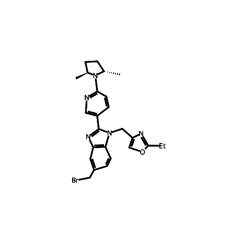 CCc1nc(Cn2c(-c3ccc(N4[C@@H](C)CC[C@@H]4C)nc3)nc3cc(CBr)ccc32)co1